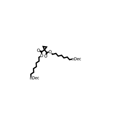 CCCCCCCCCCCCCCCCCOC(=O)C1(C(=O)OCCCCCCCCCCCCCCCCC)CC1